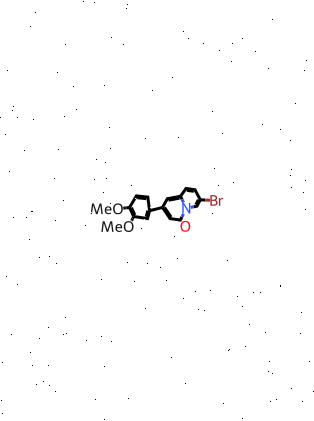 COc1ccc(-c2cc(=O)n3cc(Br)ccc3c2)cc1OC